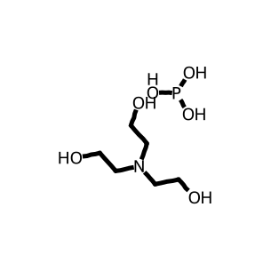 OCCN(CCO)CCO.OP(O)O